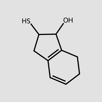 OC1C2=C(C=CCC2)CC1S